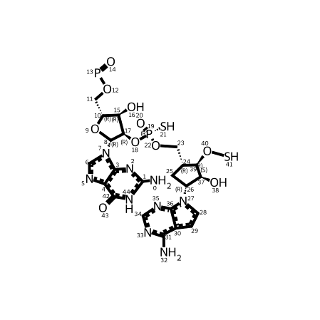 Nc1nc2c(ncn2[C@@H]2O[C@H](COP=O)[C@@H](O)[C@H]2O[P@](=O)(S)OC[C@H]2C[C@@H](n3ccc4c(N)ncnc43)[C@H](O)[C@@H]2OS)c(=O)[nH]1